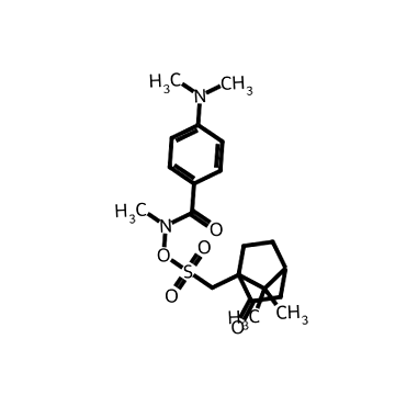 CN(OS(=O)(=O)CC12CCC(CC1=O)C2(C)C)C(=O)c1ccc(N(C)C)cc1